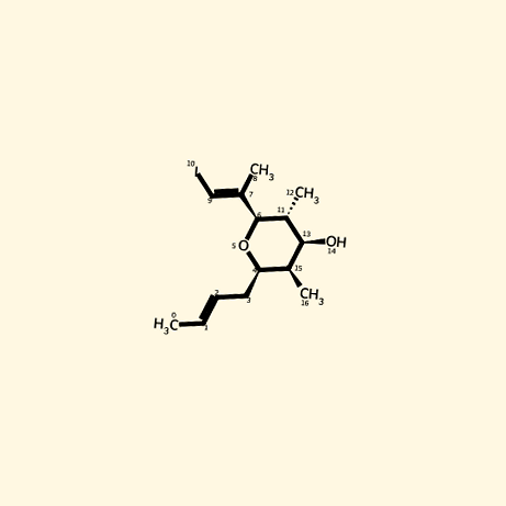 C/C=C/C[C@H]1O[C@@H](/C(C)=C/I)[C@H](C)[C@@H](O)[C@H]1C